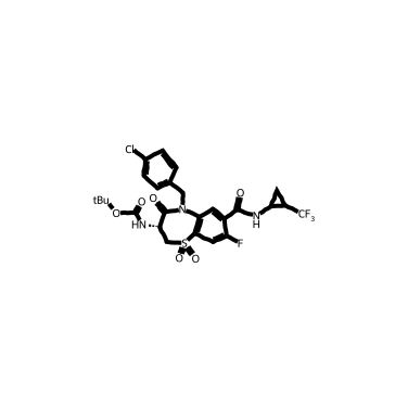 CC(C)(C)OC(=O)N[C@H]1CS(=O)(=O)c2cc(F)c(C(=O)NC3CC3C(F)(F)F)cc2N(Cc2ccc(Cl)cc2)C1=O